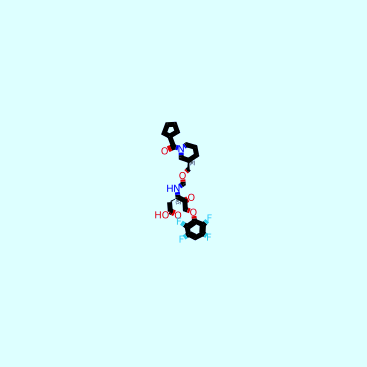 O=C(O)C[C@H](NCOC[C@@H]1CCCN(C(=O)C2CCCC2)C1)C(=O)COc1c(F)c(F)cc(F)c1F